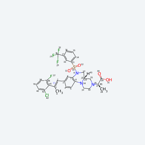 C/C(=C\c1ccc2c(c1)N(S(=O)(=O)c1cccc(C(F)(F)F)c1)C[C@@H]1CN([C@H](C)C(=O)O)CCN21)c1c(F)cccc1Cl